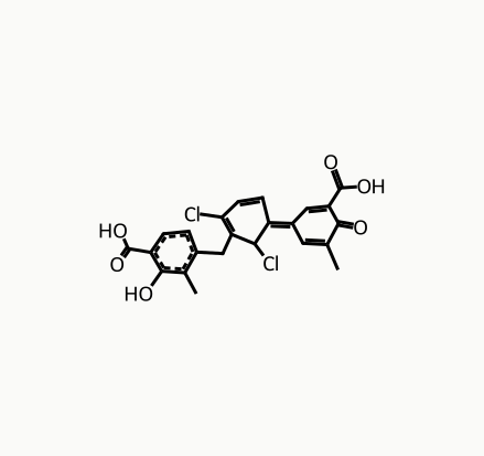 CC1=CC(=C2C=CC(Cl)=C(Cc3ccc(C(=O)O)c(O)c3C)C2Cl)C=C(C(=O)O)C1=O